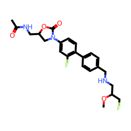 COC(CF)CNCc1ccc(-c2ccc(N3CC(CNC(C)=O)OC3=O)cc2F)cc1